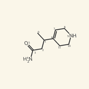 CC(CC(N)=O)C1=CCNCC1